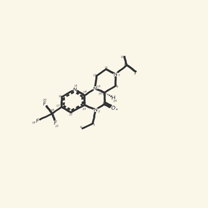 CCN1C(=O)[C@@H]2CN(C(C)C)CCN2c2ncc(C(F)(F)F)cc21